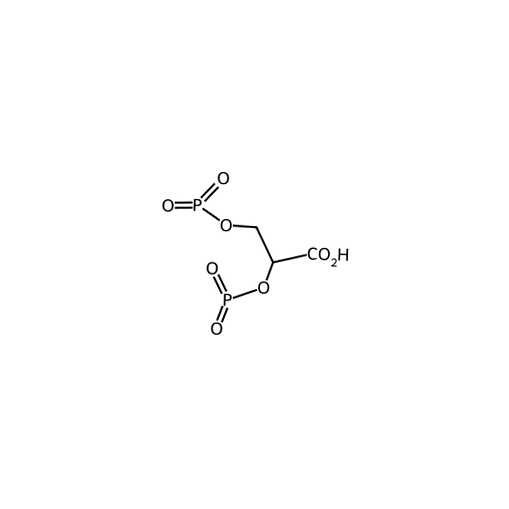 O=C(O)C(COP(=O)=O)OP(=O)=O